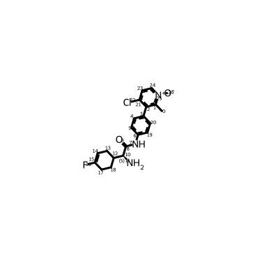 Cc1c(-c2ccc(NC(=O)[C@@H](N)C3CC=C(F)CC3)cc2)c(Cl)cc[n+]1[O-]